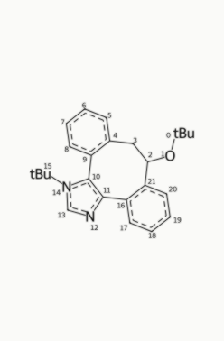 CC(C)(C)OC1Cc2ccccc2-c2c(ncn2C(C)(C)C)-c2ccccc21